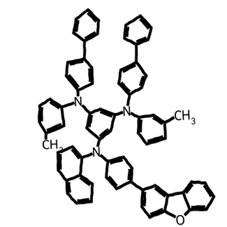 Cc1cccc(N(c2ccc(-c3ccccc3)cc2)c2cc(N(c3ccc(-c4ccccc4)cc3)c3cccc(C)c3)cc(N(c3ccc(-c4ccc5oc6ccccc6c5c4)cc3)c3cccc4ccccc34)c2)c1